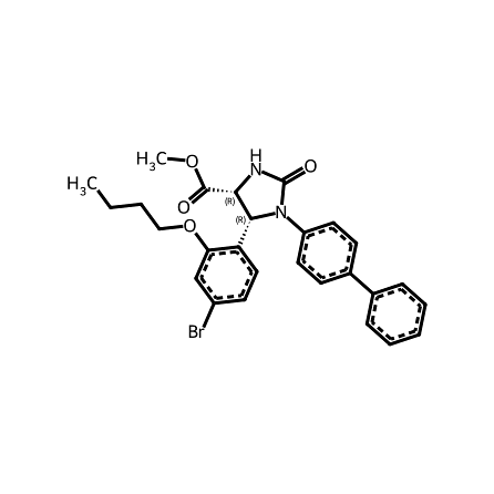 CCCCOc1cc(Br)ccc1[C@@H]1[C@H](C(=O)OC)NC(=O)N1c1ccc(-c2ccccc2)cc1